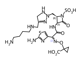 NCCCCNCC1=NN(C[C@@H]2[C@H](NC(=O)/C(=N\OC3(C(=O)O)CC3)c3csc(N)n3)C(=O)N2S(=O)(=O)O)NC1